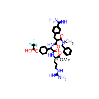 COC(=O)[C@H](CCCNC(=N)N)NC(=O)C(NC(=O)C(Cc1ccc(C(=N)N)cc1)C(=O)N(C)Cc1ccccc1)C1CCCCC1.O=C(O)C(F)(F)F